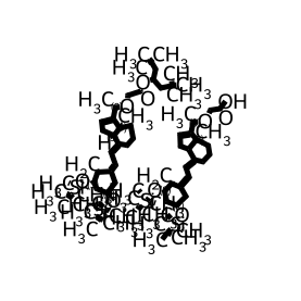 C=C1C(=CC=C2CCC[C@]3(C)C([C@H](C)OCC(=O)O)=CCC23)C[C@@H](O[Si](C)(C)C(C)(C)C)C[C@@H]1O[Si](C)(C)C(C)(C)C.C=C1C(=CC=C2CCC[C@]3(C)C([C@H](C)OCC(=O)OC(CC(C)(C)C)CC(C)(C)C)=CC[C@@H]23)C[C@@H](O[Si](C)(C)C(C)(C)C)C[C@@H]1O[Si](C)(C)C(C)(C)C